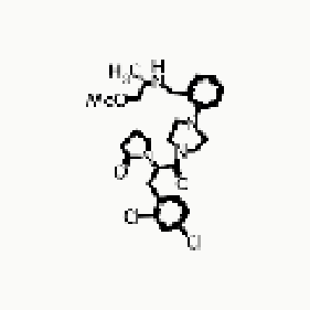 COC[C@H](C)NCc1ccccc1N1CCN(C(=O)C(Cc2ccc(Cl)cc2Cl)N2CCCC2=O)CC1